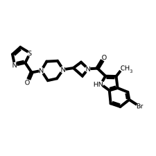 Cc1c(C(=O)N2CC(N3CCN(C(=O)c4nccs4)CC3)C2)[nH]c2ccc(Br)cc12